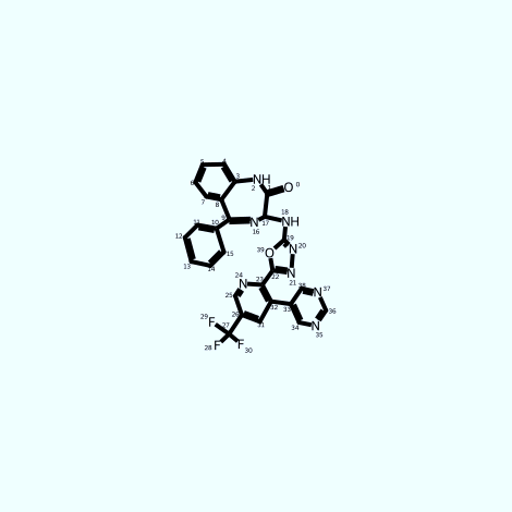 O=C1Nc2ccccc2C(c2ccccc2)=NC1Nc1nnc(-c2ncc(C(F)(F)F)cc2-c2cncnc2)o1